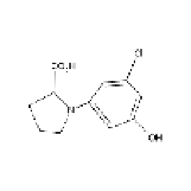 O=C(O)C1CCCN1c1cc(O)cc(Cl)c1